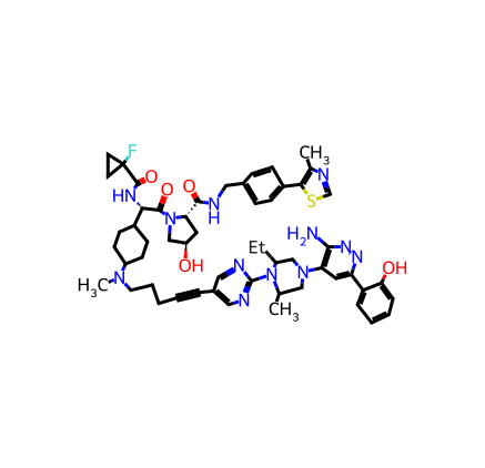 CCC1CN(c2cc(-c3ccccc3O)nnc2N)CC(C)N1c1ncc(C#CCCCN(C)C2CCC([C@H](NC(=O)C3(F)CC3)C(=O)N3C[C@H](O)C[C@H]3C(=O)NCc3ccc(-c4scnc4C)cc3)CC2)cn1